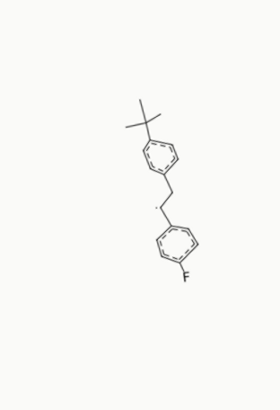 CC(C)(C)c1ccc(C[CH]c2ccc(F)cc2)cc1